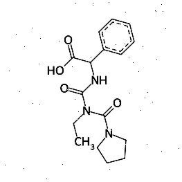 CCN(C(=O)NC(C(=O)O)c1ccccc1)C(=O)N1CCCC1